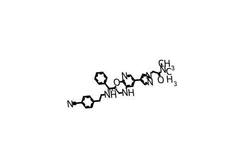 CN(C)C(=O)Cn1cc(-c2cnc3c(c2)NC[C@@H]([C@H](NCCc2ccc(C#N)cc2)c2ccccc2)O3)cn1